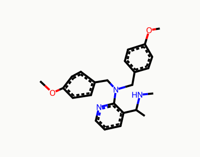 CNC(C)c1cccnc1N(Cc1ccc(OC)cc1)Cc1ccc(OC)cc1